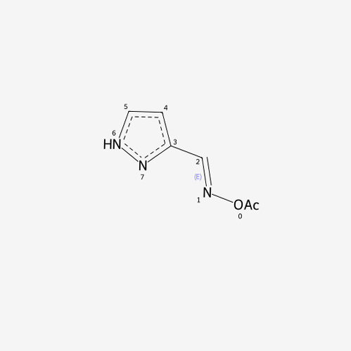 CC(=O)O/N=C/c1cc[nH]n1